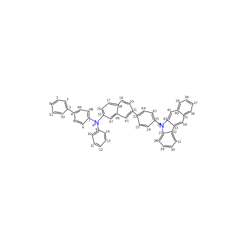 c1ccc(-c2ccc(N(c3ccccc3)c3ccc4ccc(-c5ccc(-n6c7ccccc7c7cc8ccccc8cc76)cc5)cc4c3)cc2)cc1